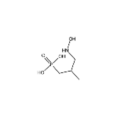 CC(CNO)CP(=O)(O)O